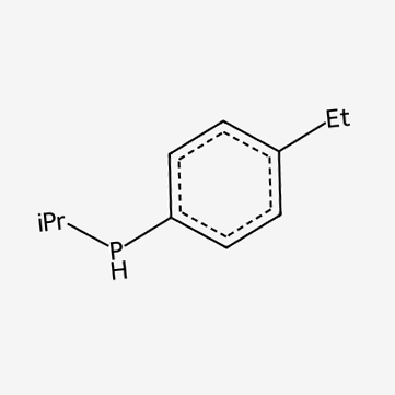 CCc1ccc(PC(C)C)cc1